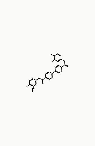 C=C(Cc1ccc(C)c(C)c1)c1ccc(-c2ccc(C(=C)Cc3ccc(C)c(F)c3)cc2)cc1